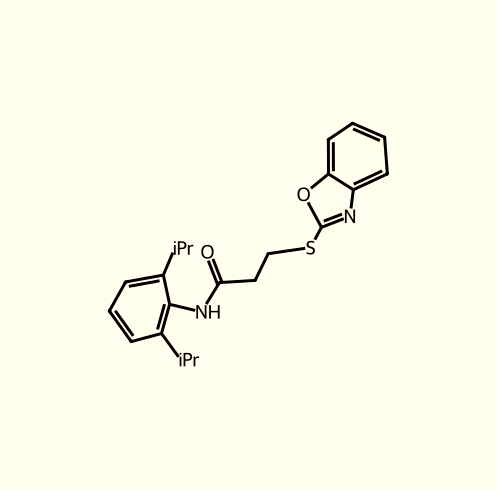 CC(C)c1cccc(C(C)C)c1NC(=O)CCSc1nc2ccccc2o1